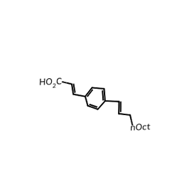 CCCCCCCCCC=Cc1ccc(/C=C/C(=O)O)cc1